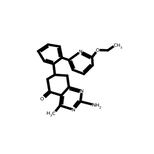 CCOc1cccc(-c2ccccc2C2CC(=O)c3c(C)nc(N)nc3C2)n1